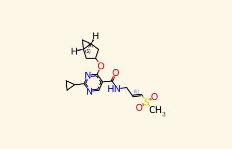 CS(=O)(=O)/C=C/CNC(=O)c1cnc(C2CC2)nc1OC1C[C@@H]2C[C@@H]2C1